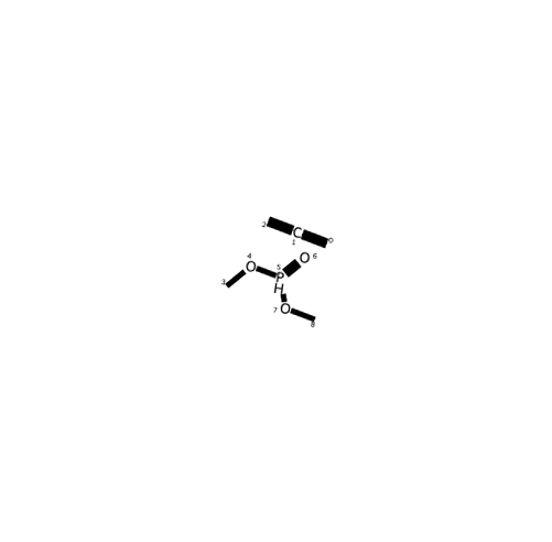 C=C=C.CO[PH](=O)OC